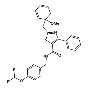 COC1(Cc2nc(-c3ccccc3)c(C(=O)NCc3ccc(OC(F)F)cc3)s2)C=CC=CC1